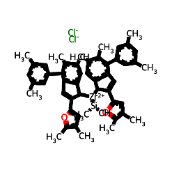 Cc1cc(C)cc(-c2c(C)c(C)cc3c2C=C(c2cc(C)c(C)o2)[CH]3[Zr+2]([CH]2C(c3cc(C)c(C)o3)=Cc3c2cc(C)c(C)c3-c2cc(C)cc(C)c2)=[Si](C)C)c1.[Cl-].[Cl-]